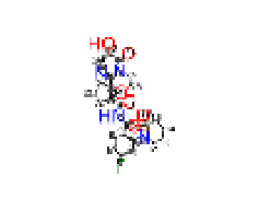 O=C(NCc1ccc(F)cc1N1CCCCS1(=O)=O)C1CCCC12OCCn1c2ncc(O)c1=O